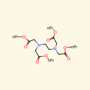 CCCOC(=O)CN(CCN(CC(=O)OCCC)CC(=O)OCCC)CC(=O)OCCC